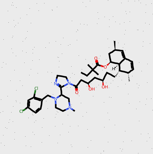 CCC(C)(C)C(=O)O[C@H]1C[C@@H](C)C=C2C=C[C@H](C)[C@H](CC[C@@H](O)C[C@@H](O)CC(=O)N3CCN=C3C3CN(C)CCN3Cc3ccc(Cl)cc3Cl)[C@H]21